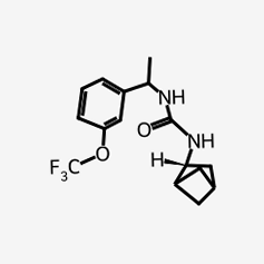 CC(NC(=O)N[C@@H]1CC2CC1C2)c1cccc(OC(F)(F)F)c1